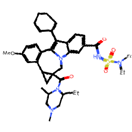 CCC1CN(C)CC(C)N1C(=O)C12CC1c1cc(OC)ccc1-c1c(C3CCCCC3)c3ccc(C(=O)NS(=O)(=O)N(CC)CC)cc3n1C2